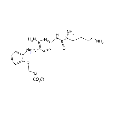 CCOC(=O)OCOc1ccccc1/N=N/c1ccc(NC(=O)[C@@H](N)CCCCN)nc1N